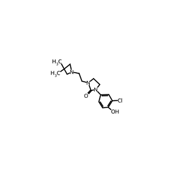 CC1(C)CN(CCN2CCN(c3ccc(O)c(Cl)c3)C2=O)C1